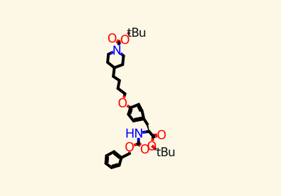 CC(C)(C)OC(=O)[C@H](Cc1ccc(OCCCCC2CCN(C(=O)OC(C)(C)C)CC2)cc1)NC(=O)OCc1ccccc1